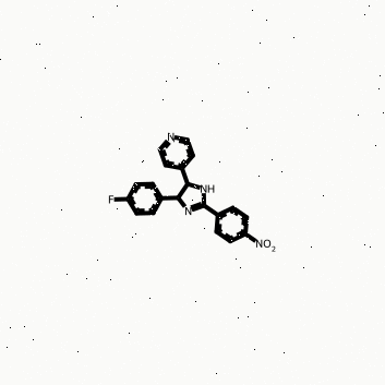 O=[N+]([O-])c1ccc(C2=NC(c3ccc(F)cc3)C(c3ccncc3)N2)cc1